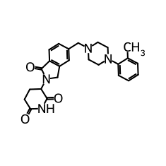 Cc1ccccc1N1CCN(Cc2ccc3c(c2)CN(C2CCC(=O)NC2=O)C3=O)CC1